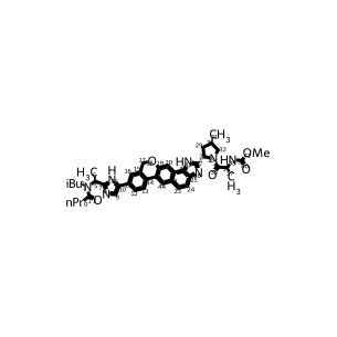 CCCC(=O)N([C@@H](C)CC)[C@@H](C)c1ncc(-c2ccc3c(c2)COc2cc4c(ccc5nc([C@@H]6C[C@H](C)CN6C(=O)[C@H](C)NC(=O)OC)[nH]c54)cc2-3)[nH]1